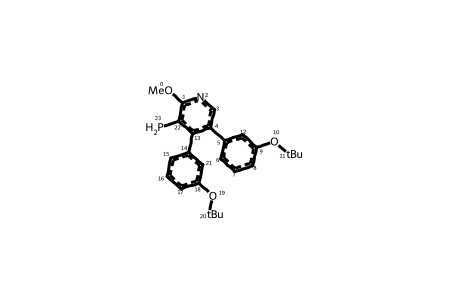 COc1ncc(-c2cccc(OC(C)(C)C)c2)c(-c2cccc(OC(C)(C)C)c2)c1P